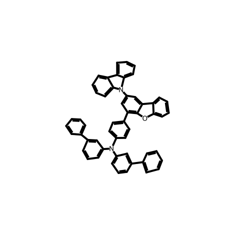 c1ccc(-c2cccc(N(c3ccc(-c4cc(-n5c6ccccc6c6ccccc65)cc5c4oc4ccccc45)cc3)c3cccc(-c4ccccc4)c3)c2)cc1